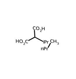 CC(C)C(C(=O)O)C(=O)O.CCCC